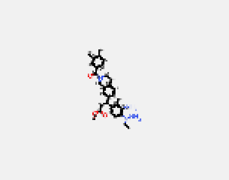 CCN(N)c1ccc(C(CC(=O)OC)c2ccc3c(c2)CN(C(=O)c2ccc(C)c(C)c2)CC3)c(C)c1N